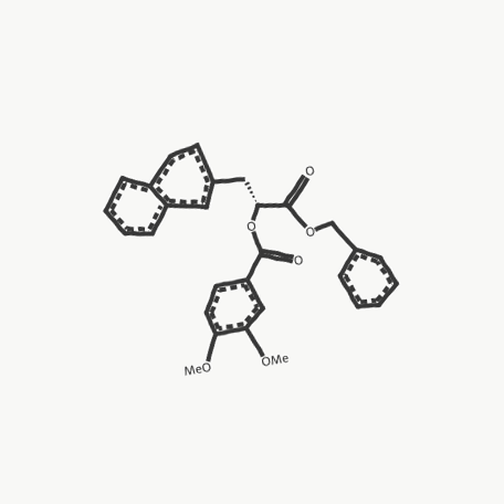 COc1ccc(C(=O)O[C@H](Cc2ccc3ccccc3c2)C(=O)OCc2ccccc2)cc1OC